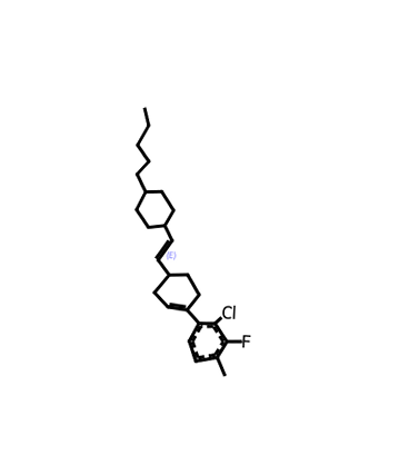 CCCCCC1CCC(/C=C/C2CC=C(c3ccc(C)c(F)c3Cl)CC2)CC1